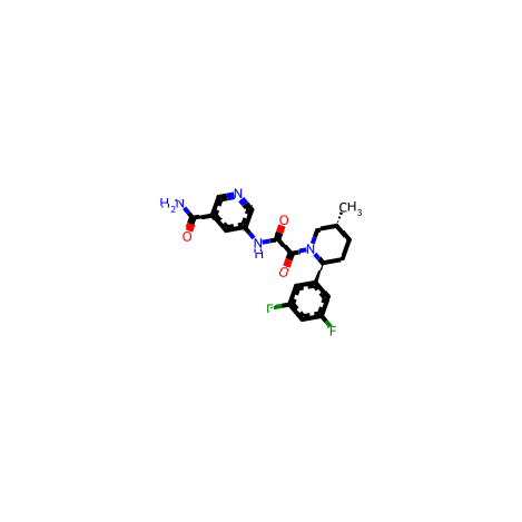 C[C@@H]1CC[C@@H](c2cc(F)cc(F)c2)N(C(=O)C(=O)Nc2cncc(C(N)=O)c2)C1